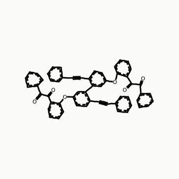 O=C(C(=O)c1ccccc1Oc1ccc(C#Cc2ccccc2)c(-c2cc(Oc3ccccc3C(=O)C(=O)c3ccccc3)ccc2C#Cc2ccccc2)c1)c1ccccc1